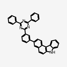 c1ccc(-c2nc(-c3ccccc3)nc(-c3cccc(-c4ccc5c(ccc6[nH]c7ccccc7c65)c4)c3)n2)cc1